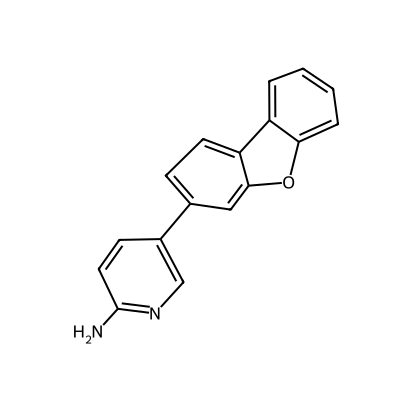 Nc1ccc(-c2ccc3c(c2)oc2ccccc23)cn1